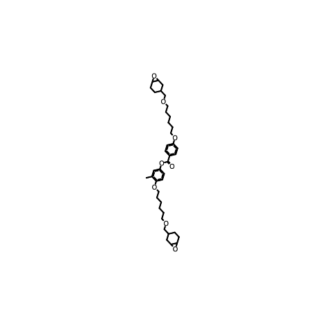 Cc1cc(OC(=O)c2ccc(OCCCCCCOCC3CCC4OC4C3)cc2)ccc1OCCCCCCOCC1CCC2OC2C1